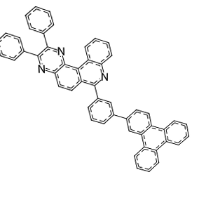 c1ccc(-c2nc3ccc4c(-c5cccc(-c6ccc7c8ccccc8c8ccccc8c7c6)c5)nc5ccccc5c4c3nc2-c2ccccc2)cc1